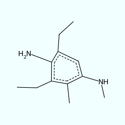 CCc1cc(NC)c(C)c(CC)c1N